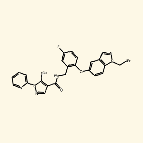 CC(C)Cn1ncc2cc(Oc3ccc(F)cc3CNC(=O)c3cnn(-c4ccccn4)c3C(C)(C)C)ccc21